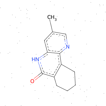 Cc1cnc2c3c(c(=O)[nH]c2c1)CCCC3